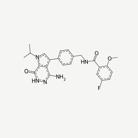 COc1ccc(F)cc1C(=O)NCc1ccc(-c2cn(C(C)C)c3c(=O)[nH]nc(N)c23)cc1